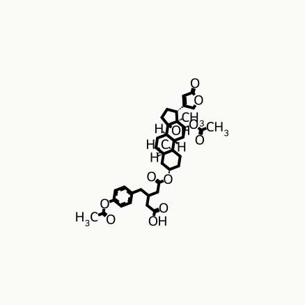 CC(=O)Oc1ccc(CC(CC(=O)O)CC(=O)O[C@H]2CC[C@@]3(C)[C@H](CC[C@@H]4[C@@H]3C[C@@H](OC(C)=O)[C@]3(C)[C@@H](C5=CC(=O)OC5)CCC43O)C2)cc1